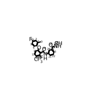 Cc1cc(F)ccc1Oc1ccc(C(F)(F)F)c(F)c1C(=O)Nc1cccc(C(=O)NO)c1